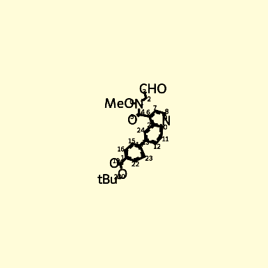 CON(CC=O)C(=O)c1ccnc2ccc(-c3ccc(C(=O)OC(C)(C)C)cc3)cc12